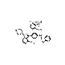 CC(=O)O.Nc1ncnc2c1c(-c1ccc(NC3COc4ccccc43)cc1)nn2C1CCNCC1.O=Cc1ccccc1O